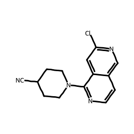 N#CC1CCN(c2nccc3cnc(Cl)cc23)CC1